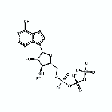 O=P([O-])([O-])OP(=O)([O-])OP(=O)([O-])OC[C@H]1O[C@@H](n2cnc3c(O)ncnc32)[C@H](O)[C@@H]1O.[P+4]